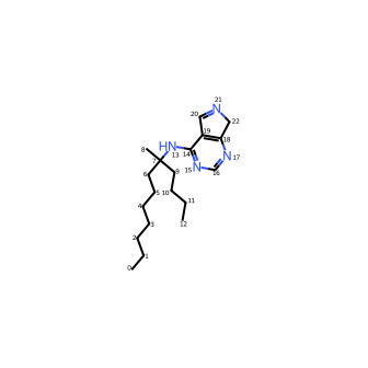 CCCCCCCC(C)(CCCC)Nc1ncnc2c1C=NC2